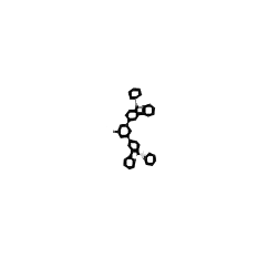 Clc1cc(-c2ccc3c(c2)c2ccccc2n3-c2ccccc2)cc(-c2ccc3c(c2)c2ccccc2n3-c2ccccc2)c1